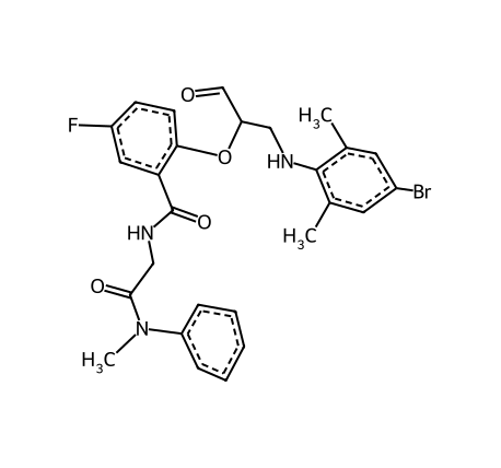 Cc1cc(Br)cc(C)c1NCC(C=O)Oc1ccc(F)cc1C(=O)NCC(=O)N(C)c1ccccc1